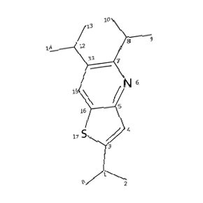 CC(C)c1cc2nc(C(C)C)c(C(C)C)cc2s1